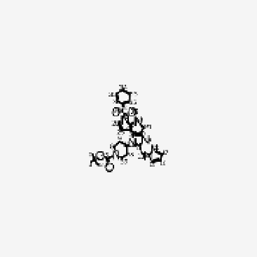 CC(C)(C)OC(=O)N1CCC(n2c(Cn3cccn3)nc3cnc4c(ccn4S(=O)(=O)c4ccccc4)c32)CC1